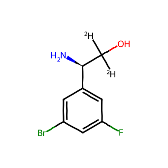 [2H]C([2H])(O)[C@H](N)c1cc(F)cc(Br)c1